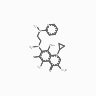 COc1c(N(C)CC[As](C)c2ccccn2)c(F)c(N)c2c(=O)c(C(=O)O)cn(C3CC3)c12